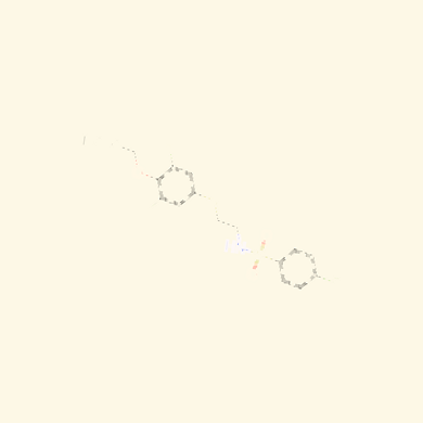 O=C(O)COc1c(F)cc(SCCNS(=O)(=O)c2ccc(F)cc2)cc1F